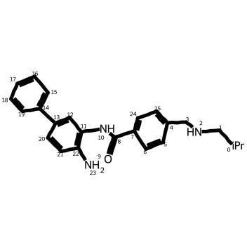 CC(C)CNCc1ccc(C(=O)Nc2cc(-c3ccccc3)ccc2N)cc1